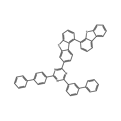 c1ccc(-c2ccc(-c3nc(-c4cccc(-c5ccccc5)c4)nc(-c4ccc5c(c4)sc4cccc(-c6cccc7c6sc6ccccc67)c45)n3)cc2)cc1